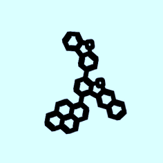 c1ccc2cc3c(cc2c1)oc1c(-c2ccc4oc5ccccc5c4c2)ccc(-c2ccc4ccc5cccc6ccc2c4c56)c13